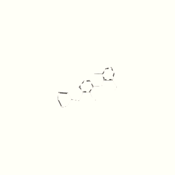 Cc1cccc(CO)c1Pc1cccc(CC2C=CC=CC2)c1O